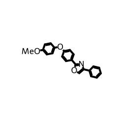 COc1ccc(Oc2ccc(-c3nc(-c4ccccc4)co3)cc2)cc1